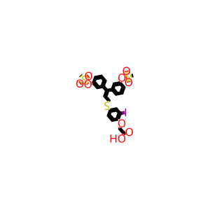 CS(=O)(=O)Oc1cccc(C(=CCSc2ccc(OCC(=O)O)c(I)c2)c2cccc(OS(C)(=O)=O)c2)c1